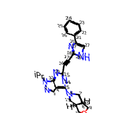 CC(C)n1ncc2c(N3C[C@H]4COC[C@H]4C3)nc(C#Cc3nc(-c4ccccc4)c[nH]3)nc21